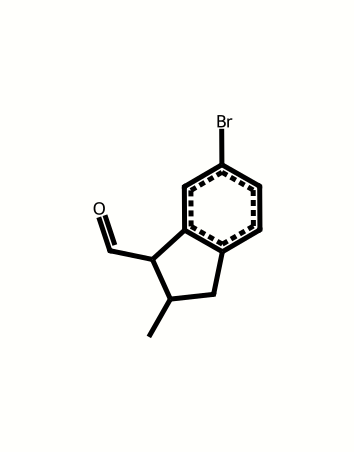 CC1Cc2ccc(Br)cc2C1C=O